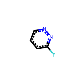 Fc1c[c]cnn1